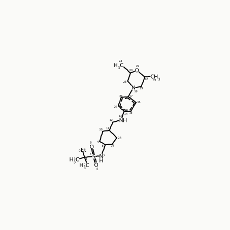 CCC(C)(C)S(=O)(=O)NC1CCC(CNc2ccc(N3CC(C)OC(C)C3)cc2)CC1